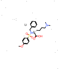 COc1ccc(S(=O)(=O)N(Cc2ccccc2)[C@H](CCCCN(C)C)C(=O)O)cc1.[Li]